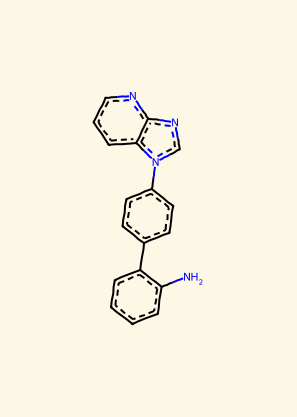 Nc1ccccc1-c1ccc(-n2cnc3ncccc32)cc1